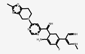 CN/C=C(\C=N)C1=C(F)C=C(N)C(C(=N)c2cc(N3CCc4oc(C)nc4C3)ncn2)C1